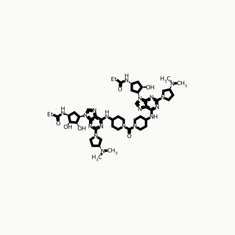 CCC(=O)N[C@@H]1C[C@@H](O)[C@H](n2cnc3c(NC4CCN(C(=O)N5CCC(Nc6nc(N7CC[C@@H](N(C)C)C7)nc7c6ncn7[C@@H]6C[C@H](NC(=O)CC)[C@@H](O)[C@H]6O)CC5)CC4)nc(N4CC[C@@H](N(C)C)C4)nc32)C1